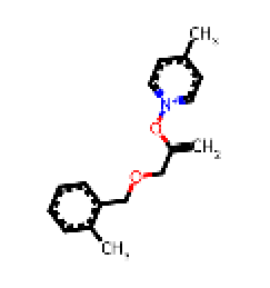 C=C(COCc1ccccc1C)O[n+]1ccc(C)cc1